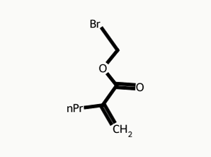 C=C(CCC)C(=O)OCBr